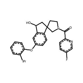 CC(C)c1ccccc1Oc1ccc2c(c1)C(O)CC21CCN(C(=O)c2ccc(F)cn2)C1